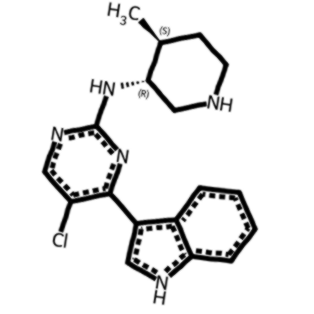 C[C@H]1CCNC[C@@H]1Nc1ncc(Cl)c(-c2c[nH]c3ccccc23)n1